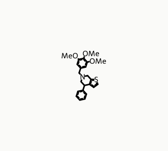 COc1cc(CN2Cc3sccc3C(c3ccccc3)C2)cc(OC)c1OC